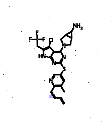 C=C/C=C\c1ncc(Sc2nc(N3CC4C(N)C4C3)c3c(Cl)c(CC(F)(F)F)[nH]c3n2)cc1C